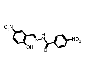 O=C(NN=Cc1cc([N+](=O)[O-])ccc1O)c1ccc([N+](=O)[O-])cc1